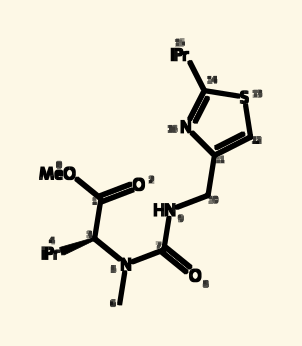 COC(=O)[C@H](C(C)C)N(C)C(=O)NCc1csc(C(C)C)n1